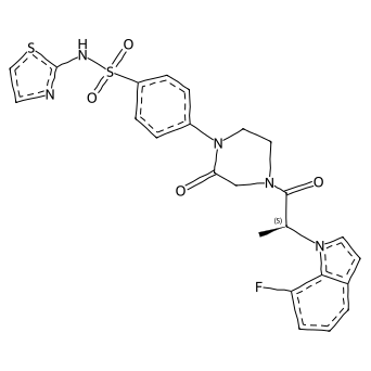 C[C@@H](C(=O)N1CCN(c2ccc(S(=O)(=O)Nc3nccs3)cc2)C(=O)C1)n1ccc2cccc(F)c21